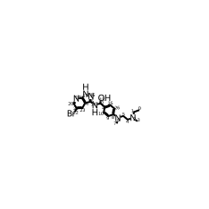 CCN(C)CCN(C)c1ccc(C(O)Nc2n[nH]c3ncc(Br)cc23)cc1